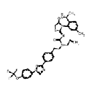 C=CCN(CCc1ccc(-c2ncn(-c3ccc(OC(F)(F)F)cc3)n2)cc1)C(=O)/N=C1\SCC(=O)N1c1cc(C)ccc1C(C)C